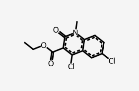 CCOC(=O)c1c(Cl)c2cc(Cl)ccc2n(C)c1=O